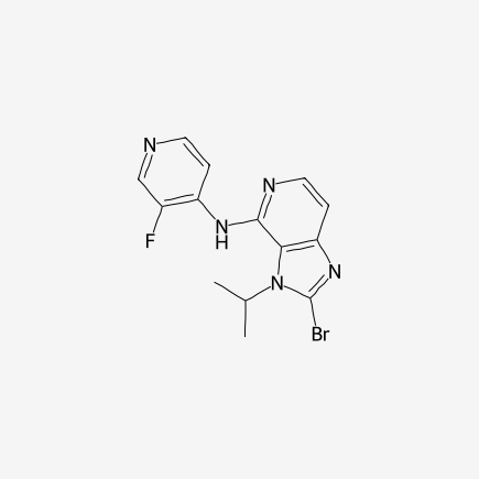 CC(C)n1c(Br)nc2ccnc(Nc3ccncc3F)c21